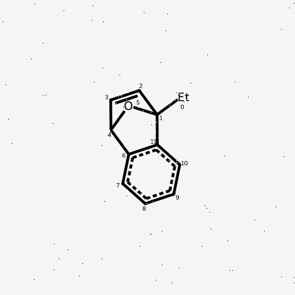 CCC12C=CC(O1)c1ccccc12